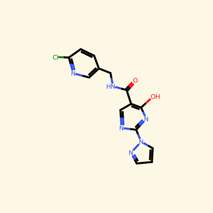 O=C(NCc1ccc(Cl)nc1)c1cnc(-n2cccn2)nc1O